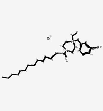 CCCCCCCCCCCCCC(=O)N1CC[N+](CC)(Cc2cccc(F)c2)CC1.[Br-]